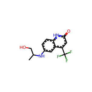 CC(CO)Nc1ccc2[nH]c(=O)cc(C(F)(F)F)c2c1